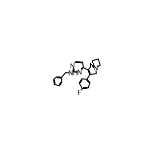 Fc1ccc(C2=C(c3ccnc(NCc4ccccc4)n3)N3CCCN3C2)cc1